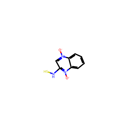 [O-][n+]1cc(NS)[n+]([O-])c2ccccc21